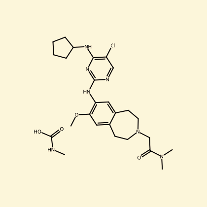 CNC(=O)O.COc1cc2c(cc1Nc1ncc(Cl)c(NC3CCCC3)n1)CCN(CC(=O)N(C)C)CC2